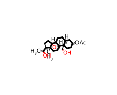 CC(=O)O[C@H]1CC[C@@]2(CO)[C@@H](CC[C@@H]3[C@@H]2CC[C@]2(C)[C@@H]([C@H](C)O)CC[C@]32O)C1